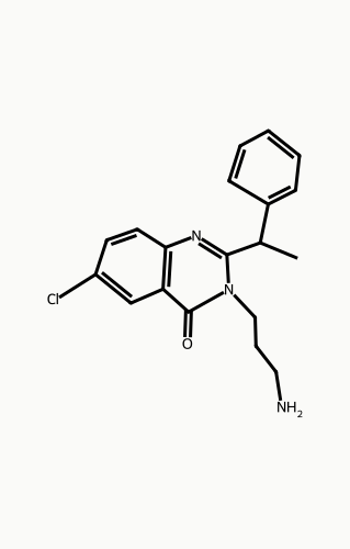 CC(c1ccccc1)c1nc2ccc(Cl)cc2c(=O)n1CCCN